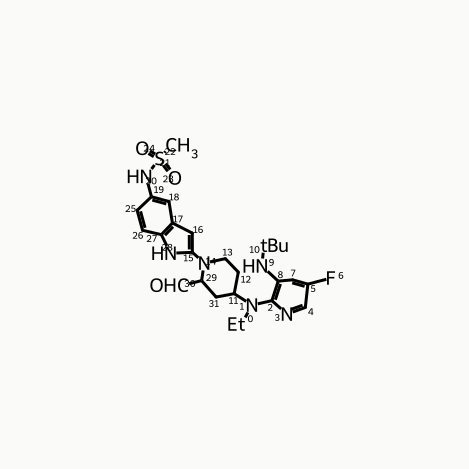 CCN(c1ncc(F)cc1NC(C)(C)C)C1CCN(c2cc3cc(NS(C)(=O)=O)ccc3[nH]2)C(C=O)C1